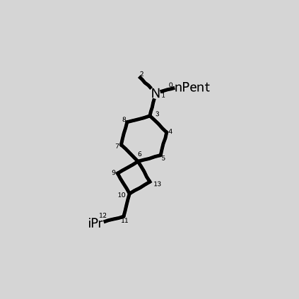 CCCCCN(C)C1CCC2(CC1)CC(CC(C)C)C2